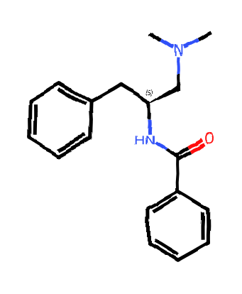 CN(C)C[C@H](Cc1ccccc1)NC(=O)c1ccccc1